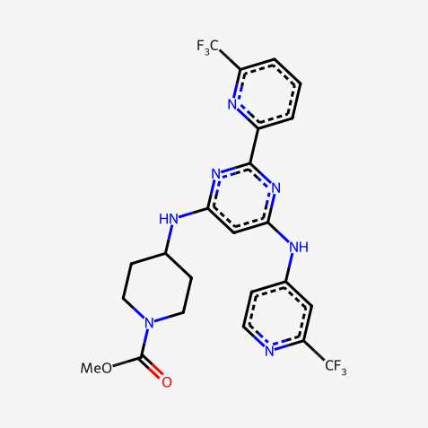 COC(=O)N1CCC(Nc2cc(Nc3ccnc(C(F)(F)F)c3)nc(-c3cccc(C(F)(F)F)n3)n2)CC1